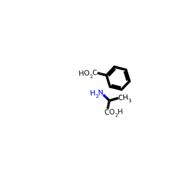 CC(N)C(=O)O.O=C(O)c1ccccc1